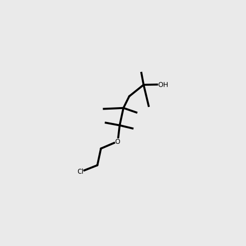 CC(C)(O)CC(C)(C)C(C)(C)OCCCl